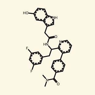 CN(C)C(=O)c1ccc(-c2cccnc2C(Cc2cc(F)cc(F)c2)NC(=O)Cc2c[nH]c3ccc(O)cc23)cc1